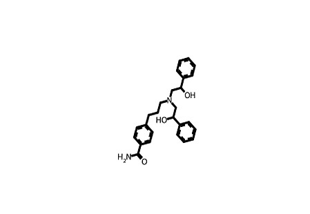 NC(=O)c1ccc(CCCN(CC(O)c2ccccc2)CC(O)c2ccccc2)cc1